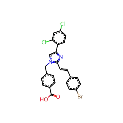 O=C(O)c1ccc(Cn2cc(-c3ccc(Cl)cc3Cl)nc2/C=C/c2ccc(Br)cc2)cc1